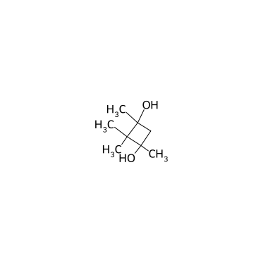 CC1(O)CC(C)(O)C1(C)C